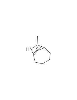 CC1NC2=S=C1CCCC2